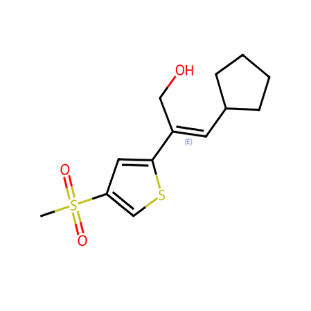 CS(=O)(=O)c1csc(/C(=C/C2CCCC2)CO)c1